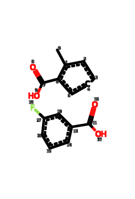 Cc1ccccc1C(=O)O.O=C(O)c1cccc(F)c1